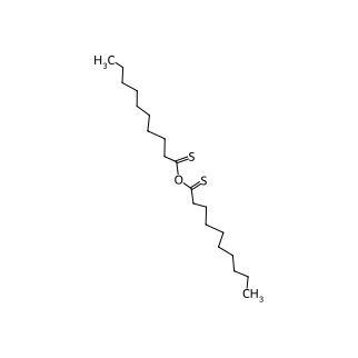 CCCCCCCCCC(=S)OC(=S)CCCCCCCCC